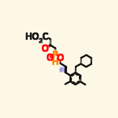 Cc1cc(C)c(/C=C/CO[PH](=O)CC(=O)CC(=O)O)c(CC2CCCCC2)c1